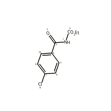 CCOC(=O)NC(=O)c1ccc(Cl)cc1